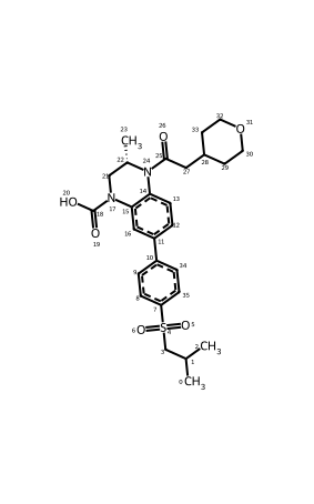 CC(C)CS(=O)(=O)c1ccc(-c2ccc3c(c2)N(C(=O)O)C[C@H](C)N3C(=O)CC2CCOCC2)cc1